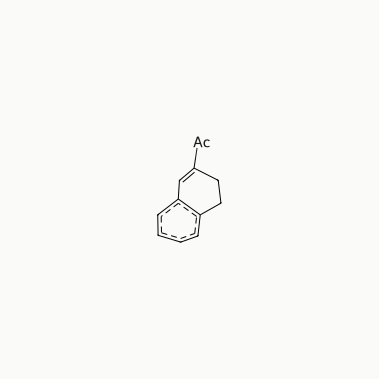 CC(=O)C1=Cc2ccccc2CC1